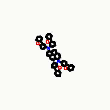 c1ccc2c(c1)oc1cc(N(c3ccc4ccc5c(N(c6ccc7oc8ccccc8c7c6)c6cccc7c6oc6ccccc67)ccc6ccc3c4c65)c3cccc4c3oc3ccccc34)ccc12